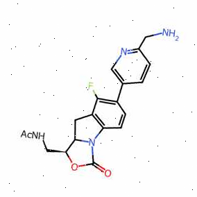 CC(=O)NC[C@@H]1OC(=O)N2c3ccc(-c4ccc(CN)nc4)c(F)c3CC12